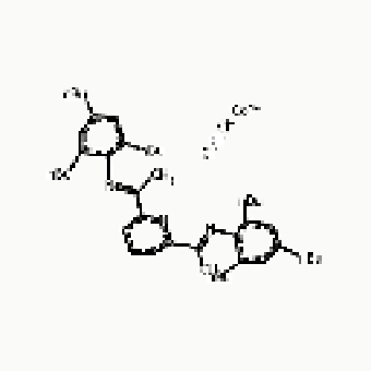 CCCCc1cc(CCCC)c(N=C(C)c2cccc(C(C)=Nc3c(CCCC)cc(CCCC)cc3CCCC)n2)c(CCCC)c1.[Cl-].[Cl-].[Cl-].[Co+3]